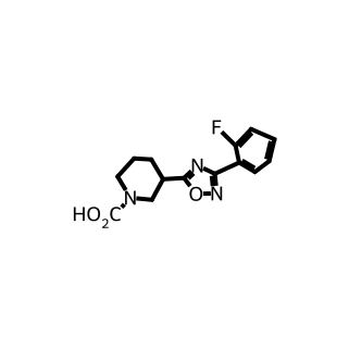 O=C(O)N1CCCC(c2nc(-c3ccccc3F)no2)C1